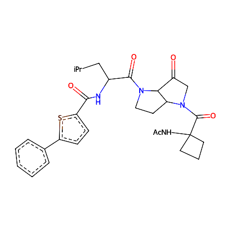 CC(=O)NC1(C(=O)N2CC(=O)C3C2CCN3C(=O)C(CC(C)C)NC(=O)c2ccc(-c3ccccc3)s2)CCC1